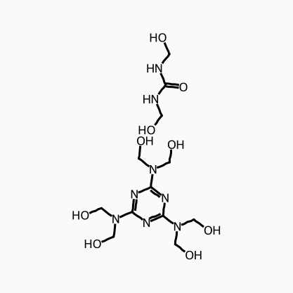 O=C(NCO)NCO.OCN(CO)c1nc(N(CO)CO)nc(N(CO)CO)n1